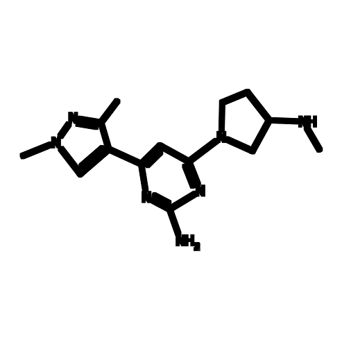 CNC1CCN(c2cc(-c3cn(C)nc3C)nc(N)n2)C1